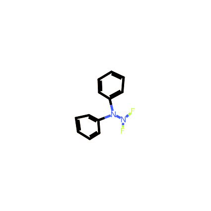 FN(F)N(c1ccccc1)c1ccccc1